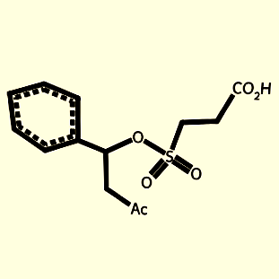 CC(=O)CC(OS(=O)(=O)CCC(=O)O)c1ccccc1